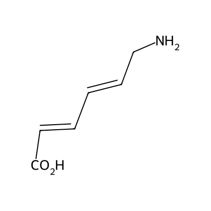 NCC=CC=CC(=O)O